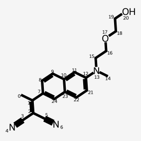 CC(=C(C#N)C#N)c1ccc2cc(N(C)CCOCCO)ccc2c1